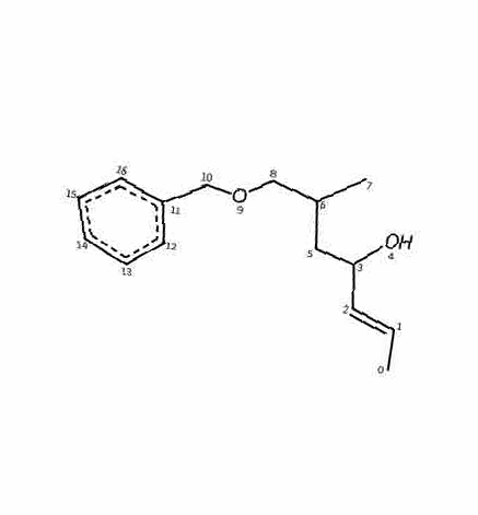 CC=CC(O)CC(C)COCc1ccccc1